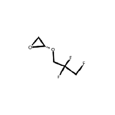 FCC(F)(F)CO[C@H]1CO1